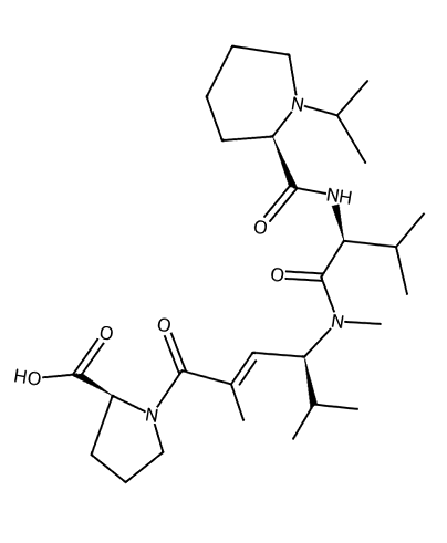 C/C(=C\[C@H](C(C)C)N(C)C(=O)[C@@H](NC(=O)[C@H]1CCCCN1C(C)C)C(C)C)C(=O)N1CCC[C@H]1C(=O)O